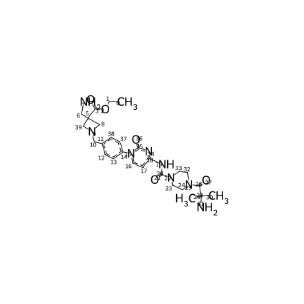 CCOC(=O)C1(CN)CN(Cc2ccc(-n3ccc(NC(=O)N4CCN(C(=O)C(C)(C)N)CC4)nc3=O)cc2)C1